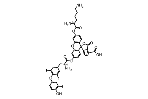 NCCCC[C@H](N)C(=O)Oc1ccc2c(c1)Oc1cc(OC(=O)[C@@H](N)Cc3cc(I)c(Oc4ccc(O)c(I)c4)c(I)c3)ccc1C21OC(=O)c2c(C(=O)O)cccc21